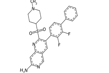 CN1CCC(S(=O)(=O)c2nc3cc(N)ncc3cc2-c2ccc(-c3ccccc3)c(F)c2F)CC1